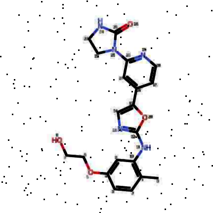 Cc1ccc(OCCO)cc1Nc1ncc(-c2ccnc(N3CCNC3=O)c2)o1